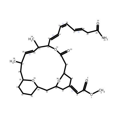 COC(=O)/C=C1\CC2CC(=O)OC(/C=C/C=C\C=C\CC(N)=O)C(C)/C=C/C(C)CC3CCCC(CC(C1)O2)O3